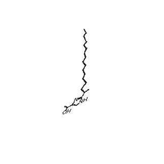 CCCCCCCCCCCCCCCC(C)C1=NC(C(C)O)CN1